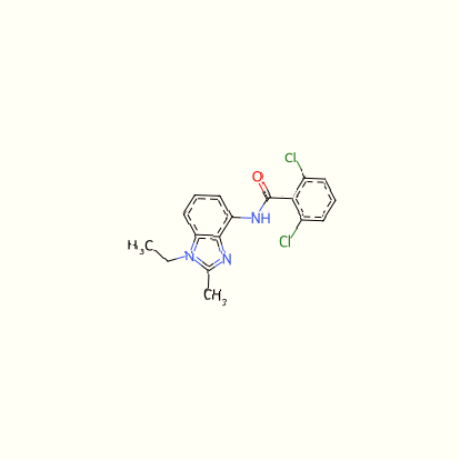 CCn1c(C)nc2c(NC(=O)c3c(Cl)cccc3Cl)cccc21